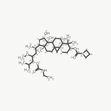 CCNC(=O)O[C@H](C(C)C)C(C[C@@H](C)[C@H]1C[C@H](O)[C@@]2(C)C3CC[C@H]4C(C)(C)[C@@H](OC(=O)N5CCC5)CC[C@@]45CC35CC[C@]12C)OC